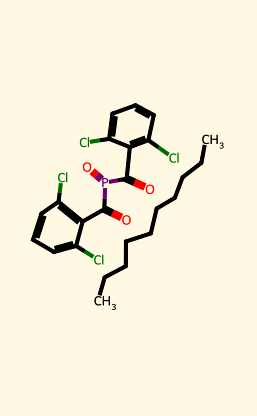 CCCCCCCCCC.O=C(c1c(Cl)cccc1Cl)[P](=O)C(=O)c1c(Cl)cccc1Cl